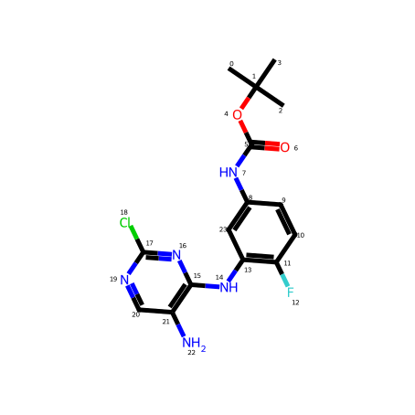 CC(C)(C)OC(=O)Nc1ccc(F)c(Nc2nc(Cl)ncc2N)c1